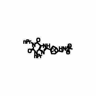 CCCn1c(=O)c2[nH]c(C34CCC(CNS(C)(=O)=O)(CC3)CC4)nc2n(CCC)c1=O